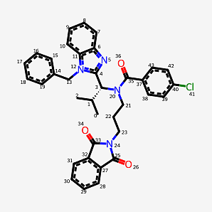 CC(C)[C@H](c1nc2ccccc2n1Cc1ccccc1)N(CCCN1C(=O)c2ccccc2C1=O)C(=O)c1ccc(Cl)cc1